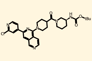 CC(C)(C)OC(=O)N[C@H]1CCCN(C(=O)C2CCN(c3nc(-c4ccnc(Cl)c4)cc4cnccc34)CC2)C1